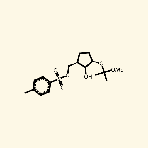 COC(C)(C)O[C@@H]1CC[C@H](COS(=O)(=O)c2ccc(C)cc2)C1O